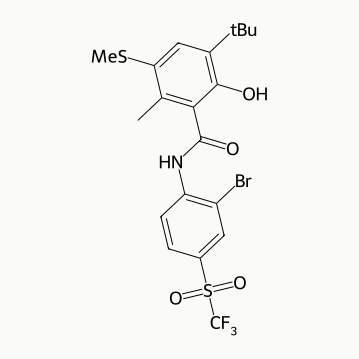 CSc1cc(C(C)(C)C)c(O)c(C(=O)Nc2ccc(S(=O)(=O)C(F)(F)F)cc2Br)c1C